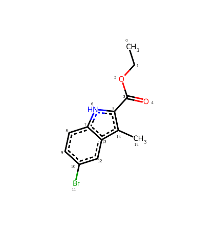 CCOC(=O)c1[nH]c2ccc(Br)cc2c1C